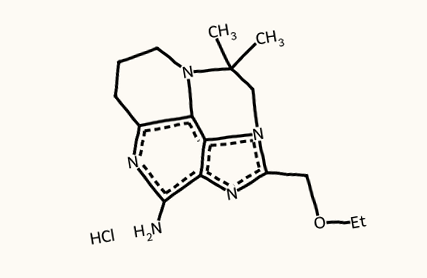 CCOCc1nc2c(N)nc3c4c2n1CC(C)(C)N4CCC3.Cl